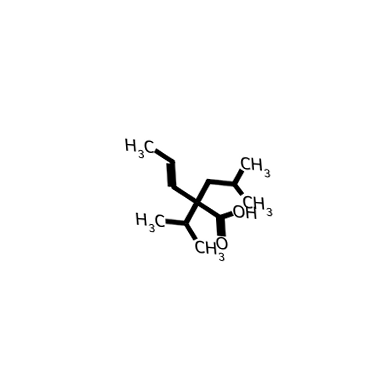 CC=CC(CC(C)C)(C(=O)O)C(C)C